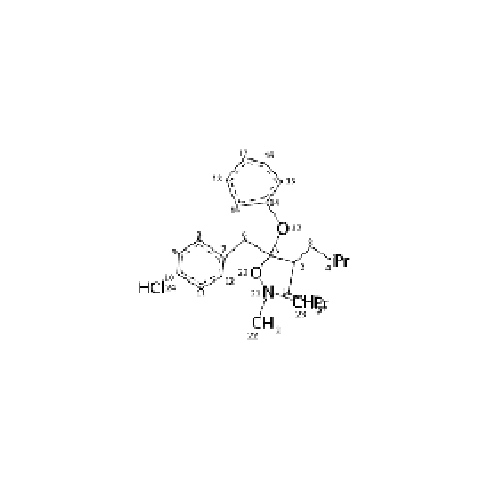 CC(C)CC(CC(C)C)C(Cc1ccccc1)(Oc1ccccc1)ON(C)C.Cl